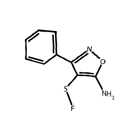 Nc1onc(-c2ccccc2)c1SF